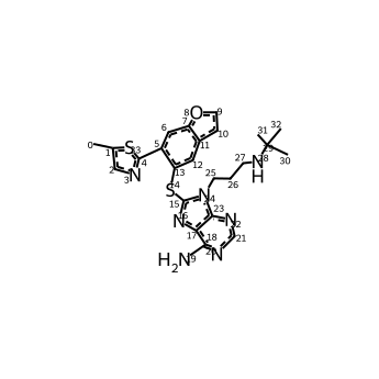 Cc1cnc(-c2cc3occc3cc2Sc2nc3c(N)ncnc3n2CCCNC(C)(C)C)s1